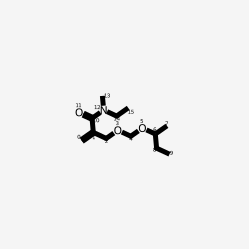 C=C(COCOC(C)CC)C(=O)N(C)CC